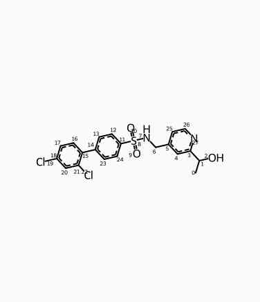 CC(O)c1cc(CNS(=O)(=O)c2ccc(-c3ccc(Cl)cc3Cl)cc2)ccn1